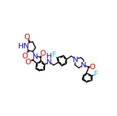 O=C1CCC(N2C(=O)c3cccc(NCc4ccc(CN5CCN(C(=O)c6ccccc6F)CC5)cc4F)c3C2=O)C(=O)N1